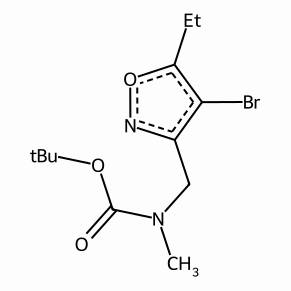 CCc1onc(CN(C)C(=O)OC(C)(C)C)c1Br